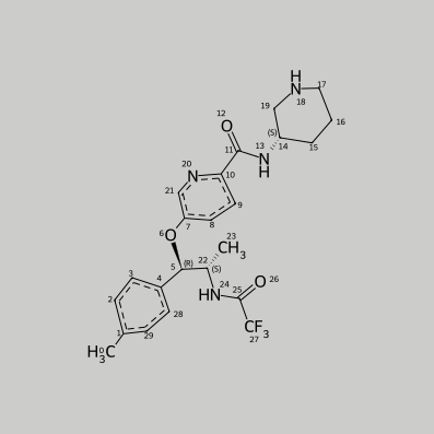 Cc1ccc([C@@H](Oc2ccc(C(=O)N[C@H]3CCCNC3)nc2)[C@H](C)NC(=O)C(F)(F)F)cc1